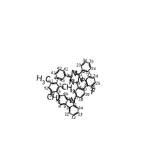 Cc1cc(C)c(-c2ccc3c4ccccc4n(-c4ccc(-c5ccccc5F)c(-c5nc(-c6ccccc6)nc(-c6ccccc6)n5)c4)c3c2)c(C)c1